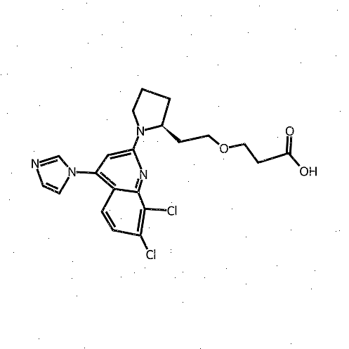 O=C(O)CCOCC[C@@H]1CCCN1c1cc(-n2ccnc2)c2ccc(Cl)c(Cl)c2n1